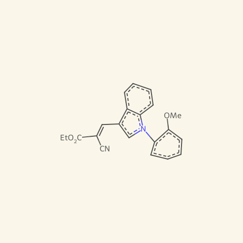 CCOC(=O)/C(C#N)=C/c1cn(-c2ccccc2OC)c2ccccc12